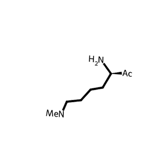 CNCCCC[C@@H](N)C(C)=O